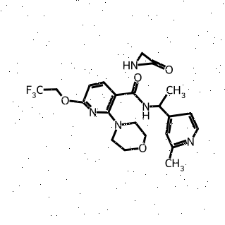 Cc1cc(C(C)NC(=O)c2ccc(OCC(F)(F)F)nc2N2CCOCC2)ccn1.O=C1CN1